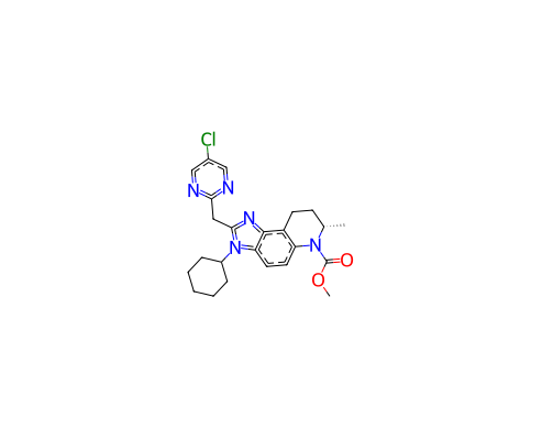 COC(=O)N1c2ccc3c(nc(Cc4ncc(Cl)cn4)n3C3CCCCC3)c2CC[C@@H]1C